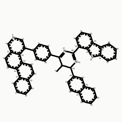 CC1C(c2ccc(-c3cncc4ccc5c6ccccc6ccc5c34)cc2)=NC(c2cccc3c2sc2ccccc23)=NC1c1ccc2ccccc2c1